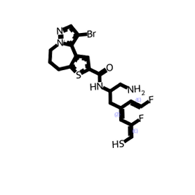 NCC(CC(=C/C(F)=C\S)/C=C/F)NC(=O)c1cc2c(s1)CCCn1ncc(Br)c1-2